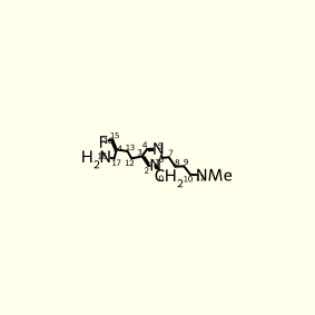 C=N/C=C(\C=N/CCCCCNC)CC/C(=C/F)CN